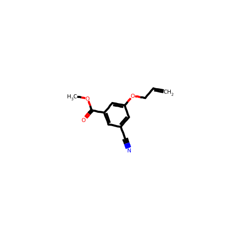 C=CCOc1cc(C#N)cc(C(=O)OC)c1